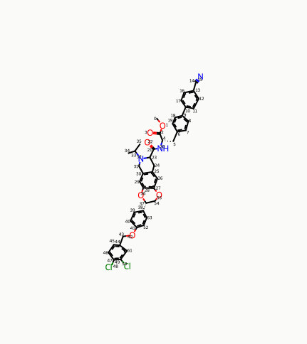 COC(=O)[C@H](Cc1ccc(-c2ccc(C#N)cc2)cc1)NC(=O)C1Cc2cc3c(cc2CN1C(C)C)O[C@@H](c1ccc(OCc2ccc(Cl)c(Cl)c2)cc1)CO3